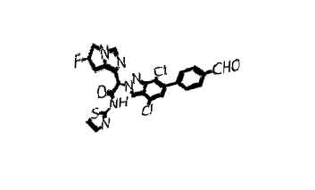 O=Cc1ccc(-c2cc(Cl)c3cn([C@@H](C(=O)Nc4nccs4)c4ncn5c4C[C@@H](F)C5)nc3c2Cl)cc1